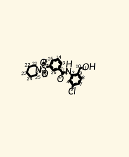 O=C(Nc1cc(Cl)ccc1CO)c1cccc(S(=O)(=O)N2CCCCC2)c1